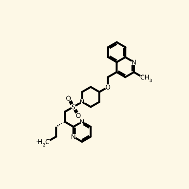 [CH2]CC[C@H](CS(=O)(=O)N1CCC(OCc2cc(C)nc3ccccc23)CC1)c1ncccn1